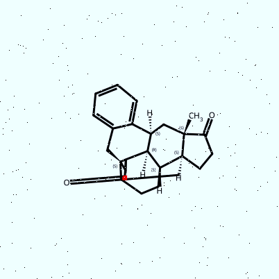 C[C@]12C[C@@H]3c4ccccc4C[C@]45CCC(=O)C=C4CC[C@H]([C@H]35)[C@@H]1CCC2=O